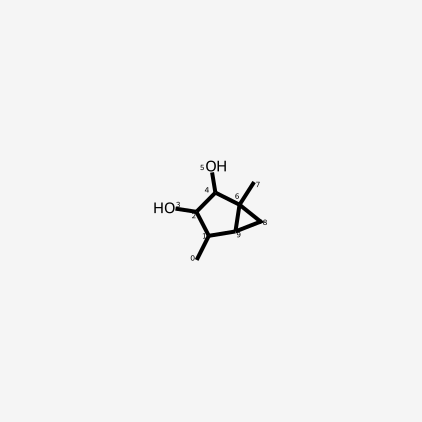 CC1C(O)C(O)C2(C)CC12